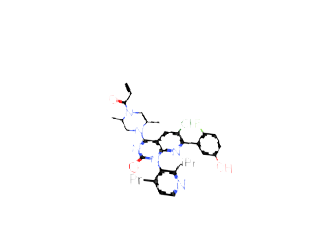 C=CC(=O)N1CC(C)N(c2nc(=O)n(-c3c(C(C)C)ccnc3C(C)C)c3nc(-c4cc(O)ccc4F)c(Cl)cc23)CC1C